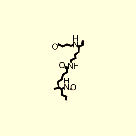 C=CC(CCCCNC(=O)CCCCC(C)C(CCC)NC=O)NCCCC=O